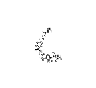 O=C(CCCCc1ccc(C(=O)NCc2ccc3c(c2)CN(C2CCC(=O)NC2=O)C3=O)cc1)NO